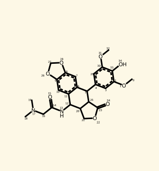 COc1cc(C2c3cc4c(cc3C(NC(=O)CN(C)C)C3COC(=O)C23)OCO4)cc(OC)c1O